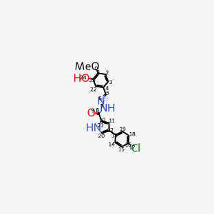 COc1ccc(/C=N/NC(=O)c2cc(-c3ccc(Cl)cc3)c[nH]2)cc1O